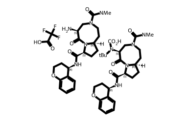 CNC(=O)N1CC[C@H]2CC[C@@H](C(=O)N[C@@H]3CCOc4ccccc43)N2C(=O)[C@@H](N(C(=O)O)C(C)(C)C)C1.CNC(=O)N1CC[C@H]2CC[C@@H](C(=O)N[C@@H]3CCOc4ccccc43)N2C(=O)[C@@H](N)C1.O=C(O)C(F)(F)F